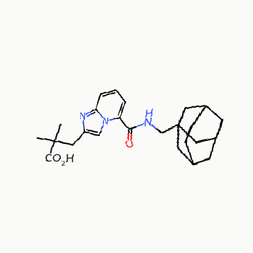 CC(C)(Cc1cn2c(C(=O)NCC34CC5CC(CC(C5)C3)C4)cccc2n1)C(=O)O